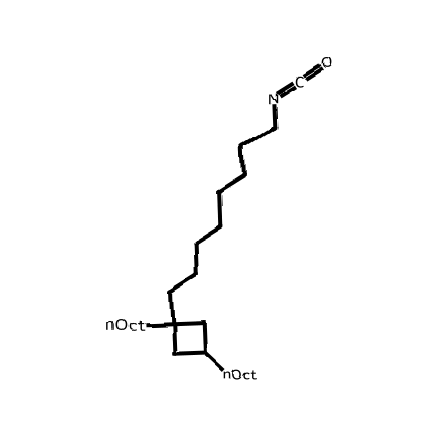 CCCCCCCCC1CC(CCCCCCCC)(CCCCCCCCN=C=O)C1